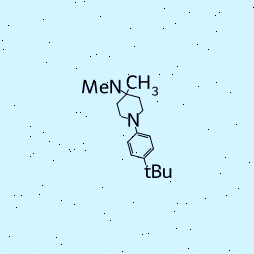 CNC1(C)CCN(c2ccc(C(C)(C)C)cc2)CC1